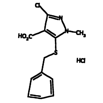 Cl.Cn1nc(Cl)c(C(=O)O)c1SCc1ccccc1